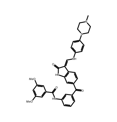 COc1cc(OC)cc(C(=O)Nc2cccc(C(=O)c3ccc4c(c3)NC(=O)/C4=C/Nc3ccc(N4CCN(C)CC4)cc3)c2)c1